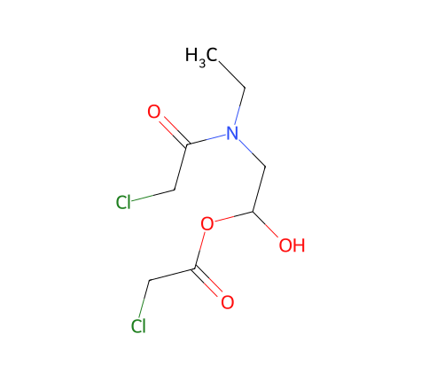 CCN(CC(O)OC(=O)CCl)C(=O)CCl